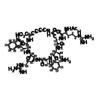 CC(=O)N[C@@H](CCCNC(=N)N)C(=O)N[C@H]1CC(=O)NCCCC[C@@H](C(=O)O)NC(=O)[C@H](Cc2c[nH]c3ccccc23)NC(=O)[C@H](CCCNC(=N)N)NC(=O)[C@@H](Cc2ccccc2)NC(=O)[C@H](CCN)NC1=O